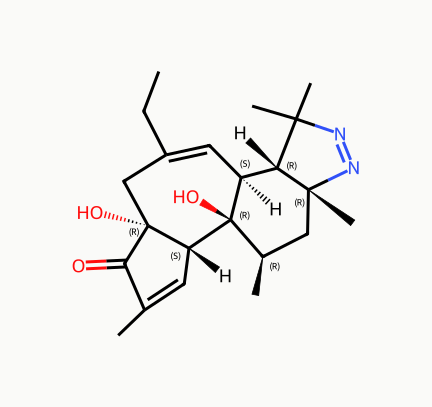 CCC1=C[C@H]2[C@@H]3C(C)(C)N=N[C@]3(C)C[C@@H](C)[C@]2(O)[C@@H]2C=C(C)C(=O)[C@@]2(O)C1